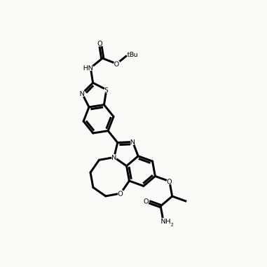 CC(Oc1cc2c3c(c1)nc(-c1ccc4nc(NC(=O)OC(C)(C)C)sc4c1)n3CCCCO2)C(N)=O